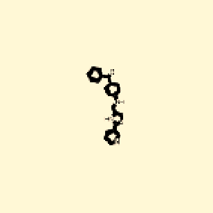 O=C(c1ccccc1)c1ccc(NCC2CSC(c3cccnc3)N2)cc1